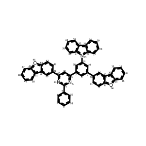 c1ccc(-c2nc(-c3cc(-c4ccc5oc6ccccc6c5c4)cc(-n4c5ccccc5c5ccccc54)c3)cc(-c3ccc4oc5ccccc5c4c3)n2)cc1